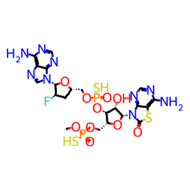 COP(=O)(S)OC[C@H]1O[C@@H](n2c(=O)sc3c(N)ncnc32)[C@@H](O)[C@H]1OP(=O)(S)OC[C@@H]1C[C@@H](F)[C@H](n2cnc3c(N)ncnc32)O1